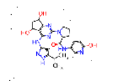 CC(C)c1cc(Nc2nc(N3CCCC3C(=O)Nc3ccc(O)nc3)nc3c2C(O)CC3O)n[nH]1